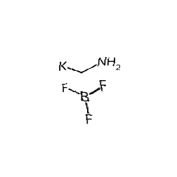 FB(F)F.N[CH2][K]